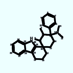 CC1C(C)C(c2ccccc2)(N(C)C)CCC12CCCc1c2[nH]c2ccccc12